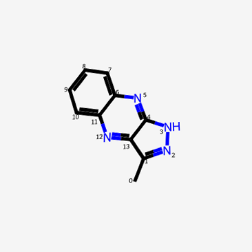 Cc1n[nH]c2nc3ccccc3nc12